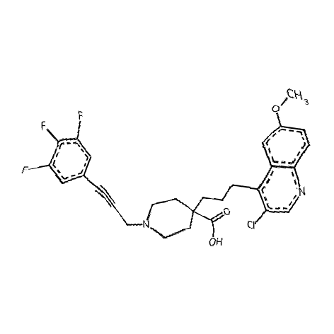 COc1ccc2ncc(Cl)c(CCCC3(C(=O)O)CCN(CC#Cc4cc(F)c(F)c(F)c4)CC3)c2c1